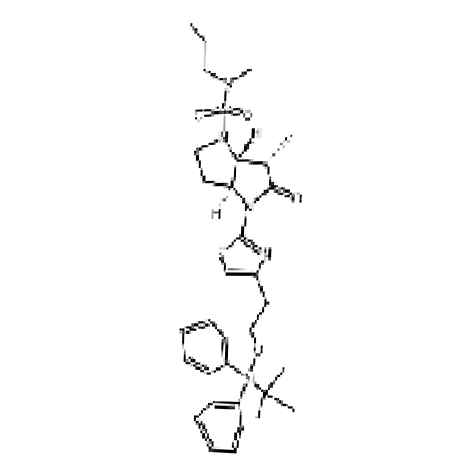 CCCN(C)S(=O)(=O)N1CC[C@H]2[C@H]1[C@H](C)C(=O)N2c1nc(CCO[Si](c2ccccc2)(c2ccccc2)C(C)(C)C)cs1